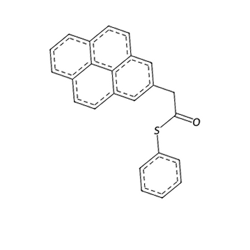 O=C(Cc1cc2ccc3cccc4ccc(c1)c2c34)Sc1ccccc1